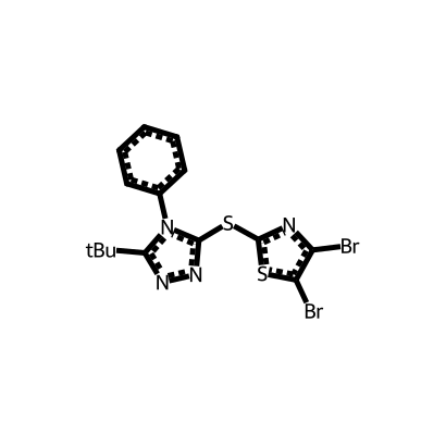 CC(C)(C)c1nnc(Sc2nc(Br)c(Br)s2)n1-c1ccccc1